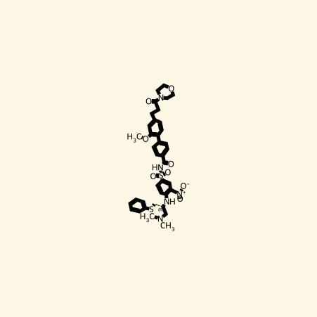 COc1cc(CCC(=O)N2CCOCC2)ccc1-c1ccc(C(=O)NS(=O)(=O)c2ccc(N[C@@H](CSc3ccccc3)CN(C)C)c([N+](=O)[O-])c2)cc1